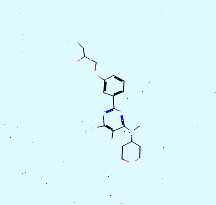 CNCC(O)COc1cccc(-c2nc(C(C)C)c(C)c(N(C)C3CCOCC3)n2)c1